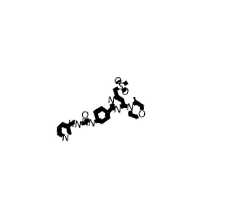 C[C@H]1COCCN1c1cc(CS(C)(=O)=O)nc(-c2ccc(NC(=O)NCc3cccnc3)cc2)n1